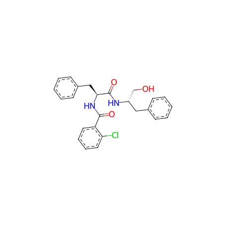 O=C(N[C@@H](Cc1ccccc1)C(=O)N[C@H](CO)Cc1ccccc1)c1ccccc1Cl